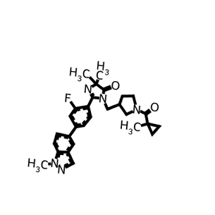 Cn1ncc2cc(-c3ccc(C4=NC(C)(C)C(=O)N4CC4CCN(C(=O)C5(C)CC5)C4)c(F)c3)ccc21